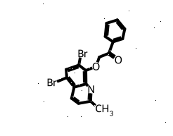 Cc1ccc2c(Br)cc(Br)c(OCC(=O)c3ccccc3)c2n1